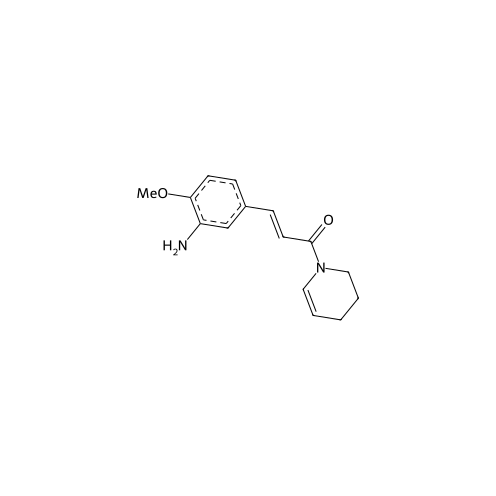 COc1ccc(/C=C/C(=O)N2C=CCCC2)cc1N